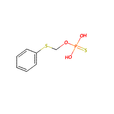 OP(O)(=S)OCSc1ccccc1